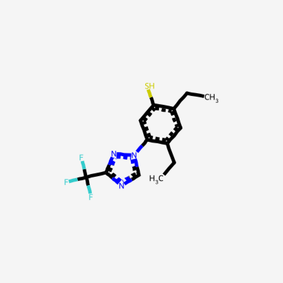 CCc1cc(CC)c(-n2cnc(C(F)(F)F)n2)cc1S